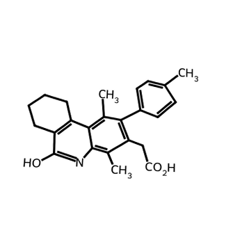 Cc1ccc(-c2c(CC(=O)O)c(C)c3nc(O)c4c(c3c2C)CCCC4)cc1